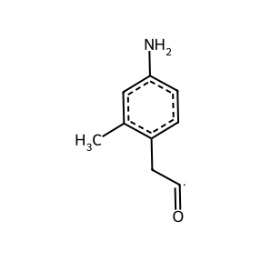 Cc1cc(N)ccc1C[C]=O